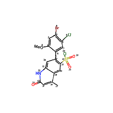 COc1cc(Br)c(Cl)cc1-c1cc2[nH]c(=O)cc(C)c2cc1S(=O)(=O)Cl